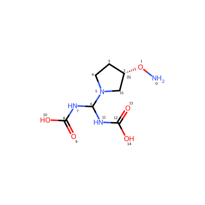 NO[C@H]1CCN(C(NC(=O)O)NC(=O)O)C1